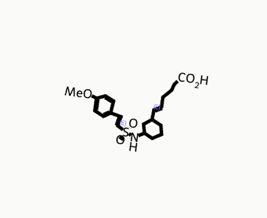 COc1ccc(/C=C/S(=O)(=O)NC2CCCC(/C=C/CCCC(=O)O)C2)cc1